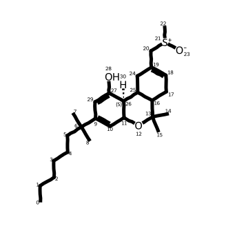 CCCCCCC(C)(C)C1=CC2OC(C)(C)C3CC=C(C[S+](C)[O-])CC3[C@@H]2C(O)=C1